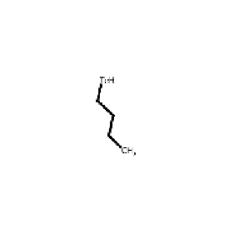 CCCC[TeH]